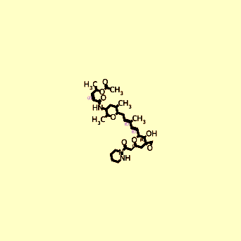 CC(=O)OC(C)/C=C\C(=O)NC1CC(C)C(C/C=C(C)/C=C/C2O[C@H](CC(=O)N3CCCCN3)CC3(CO3)[C@@H]2O)OC1C